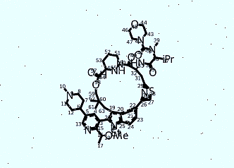 CCn1c(-c2cc(C3CCN(C)CC3)cnc2[C@H](C)OC)c2c3cc(ccc31)-c1csc(n1)C[C@H](NC(=O)C(C(C)C)N(C)C(=O)N1CCOCC1)C(=O)N1CCC[C@H](N1)C(=O)OCC(C)(C)C2